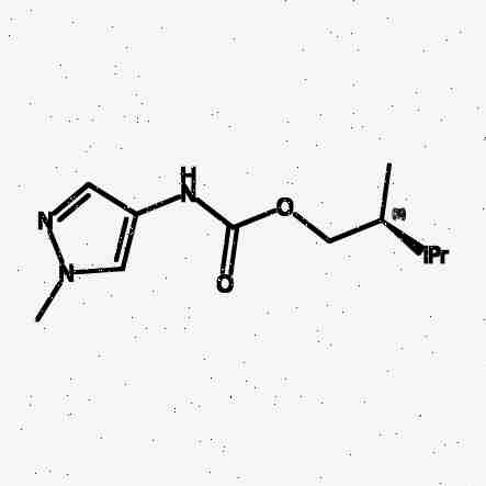 CC(C)[C@H](C)COC(=O)Nc1cnn(C)c1